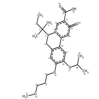 CCC(C)(C)N1Cc2cc(OCCCOC)c(OC(C)C)cc2-c2cc(=O)c(C(=O)O)cn21